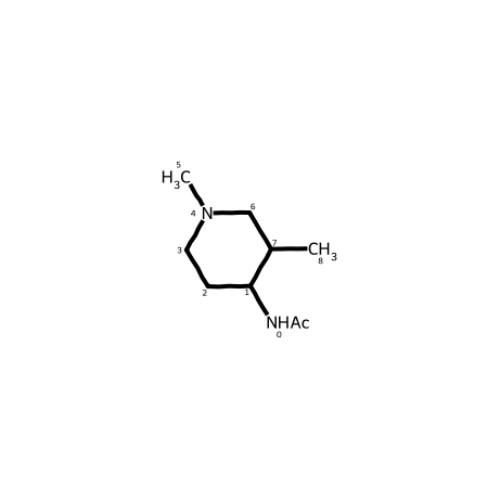 CC(=O)NC1CCN(C)CC1C